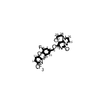 O=c1nc(OCc2cc(F)c(Oc3ccc(C(F)(F)F)nc3)c(F)c2)c2c3n1CCN3CCO2